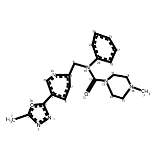 Cc1nnc(-c2ccc(CN(C(=O)N3CCN(C)CC3)c3ccccc3)nc2)o1